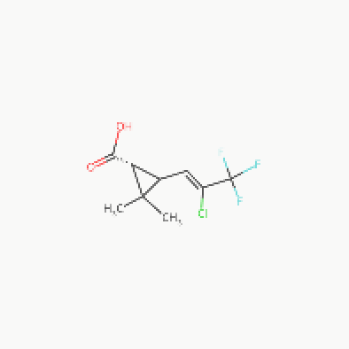 CC1(C)C(/C=C(\Cl)C(F)(F)F)[C@H]1C(=O)O